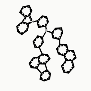 c1cc(-c2ccc3c(ccc4ccccc43)c2)cc(N(c2cccc(-c3ccc4c5c(cccc35)-c3ccccc3-4)c2)c2cccc(-n3c4ccccc4c4ccccc43)c2)c1